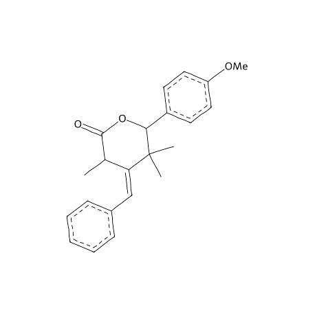 COc1ccc(C2OC(=O)C(C)/C(=C\c3ccccc3)C2(C)C)cc1